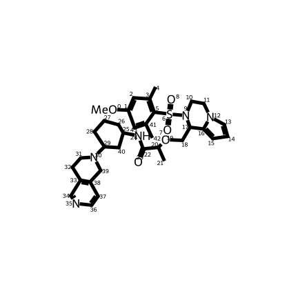 COc1cc(C)c(S(=O)(=O)N2CCn3cccc3C2COC(C)C(=O)NC2CCCC(N3CCc4cnccc4C3)C2)c(C)c1